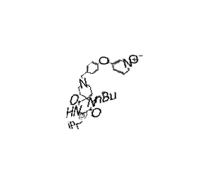 CCCCN1C(=O)[C@H](CC(C)C)NC(=O)C12CCN(Cc1ccc(Oc3ccc[n+]([O-])c3)cc1)CC2